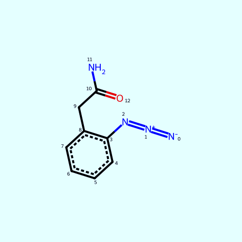 [N-]=[N+]=Nc1ccccc1CC(N)=O